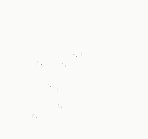 CC(C)(Nc1nc(Nc2cc(C3CC3)[nH]n2)ccc1N)c1ccc(F)cc1